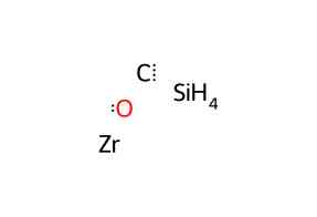 [C].[O].[SiH4].[Zr]